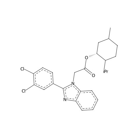 CC1CCC(C(C)C)[C@H](OC(=O)Cn2c(-c3ccc(Cl)c(Cl)c3)nc3ccccc32)C1